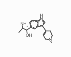 CC(N)C(O)c1ccc2[nH]cc(C3=CCN(C)CC3)c2c1